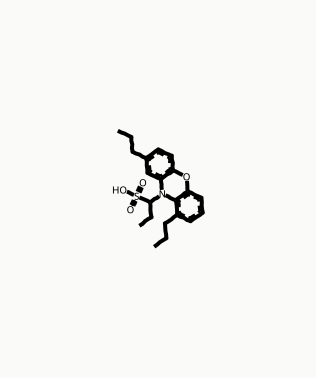 CCCc1ccc2c(c1)N(C(CC)S(=O)(=O)O)c1c(CCC)cccc1O2